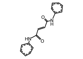 O=C(C=CC(=O)Nc1ccccc1)Nc1ccccc1